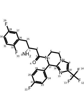 N[C@@H](CC(=O)N1CCn2cc(C(F)(F)F)nc2C1c1ccc(F)cc1)Cc1cc(F)ccc1F